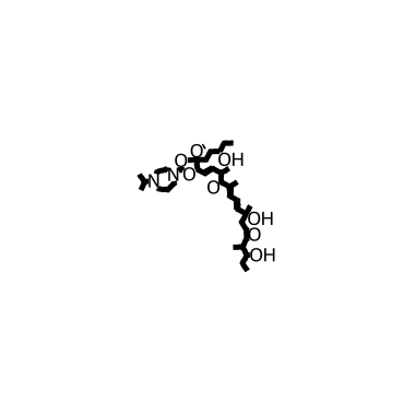 CCC(O)CCC(C)(OC)C(/C=C/C(C)C(=O)/C(C)=C/C=C/C(C)(O)CC1OC1C(C)C(O)CC)OC(=O)N1CCCN(C(C)C)CC1